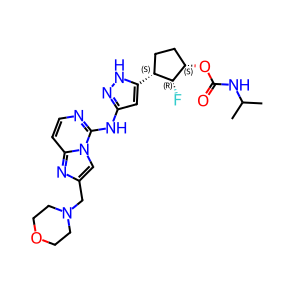 CC(C)NC(=O)O[C@H]1CC[C@@H](c2cc(Nc3nccc4nc(CN5CCOCC5)cn34)n[nH]2)[C@H]1F